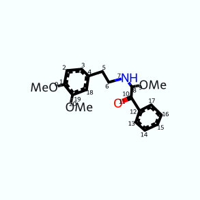 COc1ccc(CCNC(OC)C(=O)c2ccccc2)cc1OC